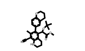 COC(=O)C(OC(C)(C)C)c1c2c(c(C#N)c(C)c1-c1ccc3c(c1)CCCO3)NCCC2